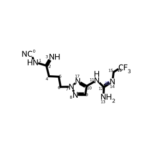 N#CNC(=N)CCCn1ncc(N/C(N)=N\CC(F)(F)F)n1